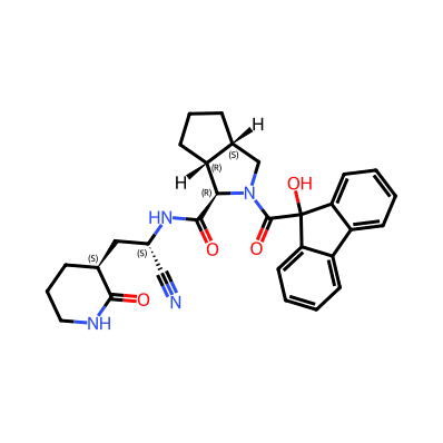 N#C[C@H](C[C@@H]1CCCNC1=O)NC(=O)[C@H]1[C@@H]2CCC[C@@H]2CN1C(=O)C1(O)c2ccccc2-c2ccccc21